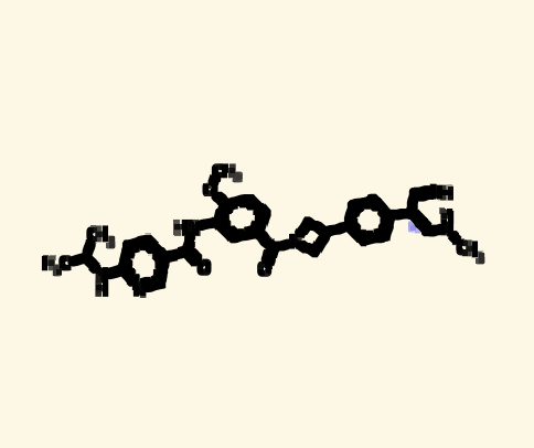 CN/C=C(\C=N)c1ccc(C2CN(C(=O)c3ccc(OC)c(NC(=O)c4ccc(NC(C)C)nc4)c3)C2)cc1